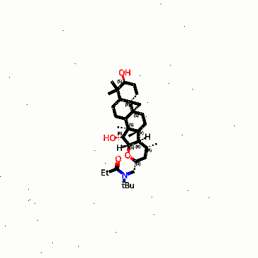 CCC(=O)N(C[C@H]1C[C@@H](C)[C@H]2[C@H](O1)[C@H](O)[C@@]1(C)C3CCC4C(C)(C)[C@@H](O)CC[C@@]45C[C@@]35CC[C@]21C)C(C)(C)C